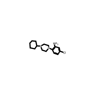 Nc1cc(Cl)ccc1N1CCN(C2CCCCC2)CC1